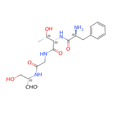 C[C@H](O)[C@H](NC(=O)[C@@H](N)Cc1ccccc1)C(=O)NCC(=O)N[C@H]([C]=O)CO